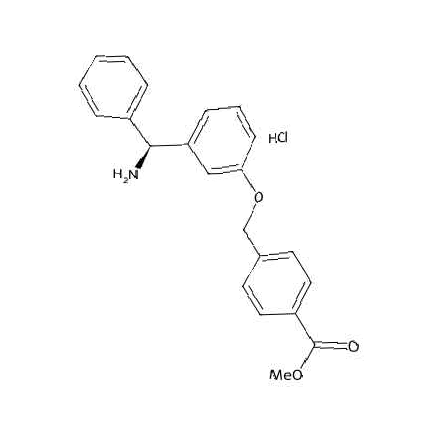 COC(=O)c1ccc(COc2cccc([C@@H](N)c3ccccc3)c2)cc1.Cl